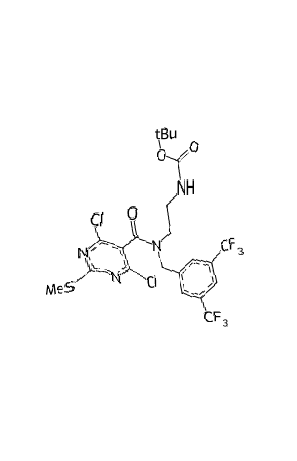 CSc1nc(Cl)c(C(=O)N(CCNC(=O)OC(C)(C)C)Cc2cc(C(F)(F)F)cc(C(F)(F)F)c2)c(Cl)n1